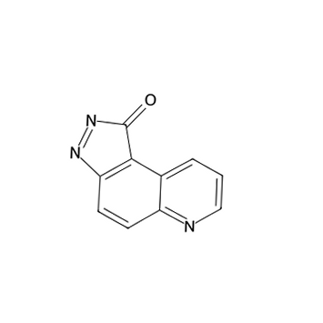 O=C1N=Nc2ccc3ncccc3c21